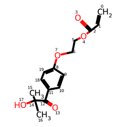 C=CC(=O)OCCOc1ccc(C(=O)C(C)(C)O)cc1